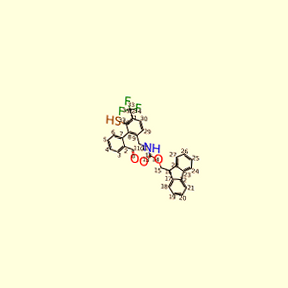 O=Cc1ccccc1-c1c(CNC(=O)OCC2c3ccccc3-c3ccccc32)ccc(C(F)(F)F)c1S